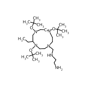 CCC1CN(OC(C)(C)C)CCN(OC(C)(C)C)CCN(CNCCN)CCN1OC(C)(C)C